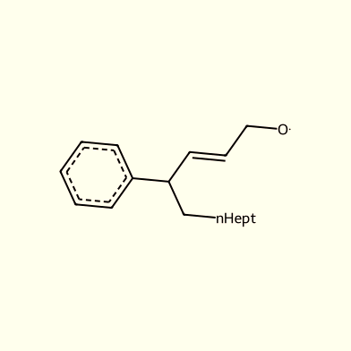 CCCCCCCCC(/C=C/C[O])c1ccccc1